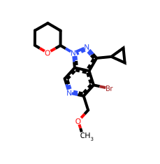 COCc1ncc2c(c(C3CC3)nn2C2CCCCO2)c1Br